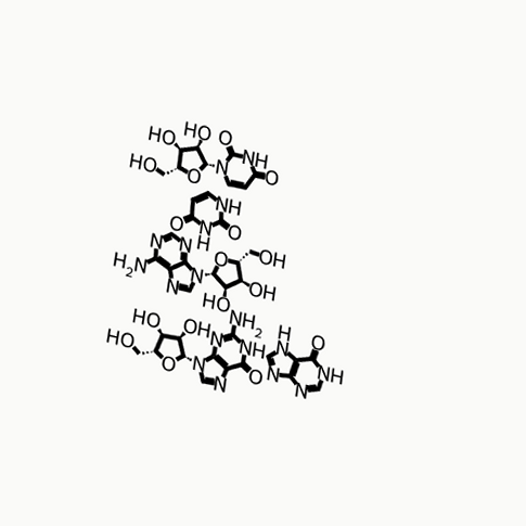 Nc1nc2c(ncn2[C@@H]2O[C@H](CO)[C@@H](O)[C@H]2O)c(=O)[nH]1.Nc1ncnc2c1ncn2[C@@H]1O[C@H](CO)[C@@H](O)[C@H]1O.O=c1[nH]cnc2nc[nH]c12.O=c1cc[nH]c(=O)[nH]1.O=c1ccn([C@@H]2O[C@H](CO)[C@@H](O)[C@H]2O)c(=O)[nH]1